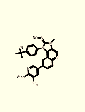 CNc1ncc(-c2ccc3ncc4c(c3c2)n(-c2ccc(C(C)(C)C#N)cc2)/c(=N\C#N)n4C)cc1C(F)(F)F